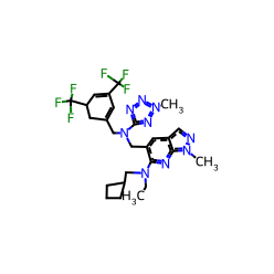 CCN(CC1CCC1)c1nc2c(cnn2C)cc1CN(CC1=CC(C(F)(F)F)=CC(C(F)(F)F)C1)c1nnn(C)n1